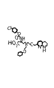 O=C(N[C@@H](CCN(CCCCc1ccc2c(n1)NCCC2)CCOc1ccccc1)C(=O)O)Oc1ccc(Cl)cc1